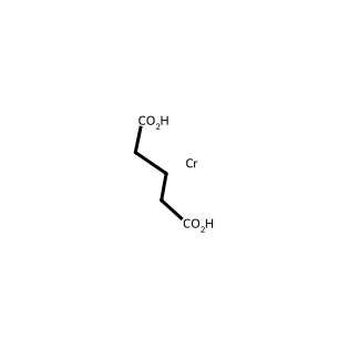 O=C(O)CCCC(=O)O.[Cr]